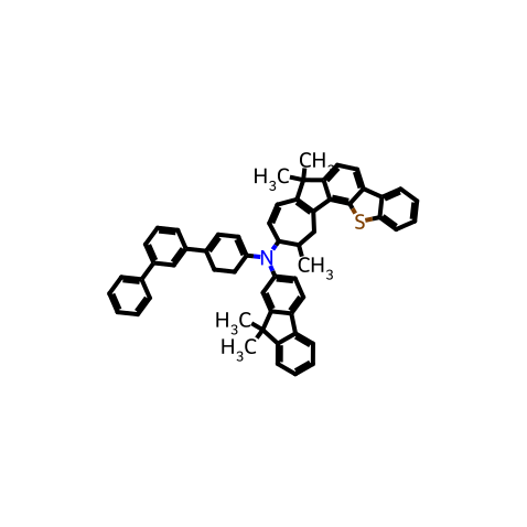 CC1CC2=C(C=CC1N(C1=CC=C(c3cccc(-c4ccccc4)c3)CC1)c1ccc3c(c1)C(C)(C)c1ccccc1-3)C(C)(C)c1ccc3c(sc4ccccc43)c12